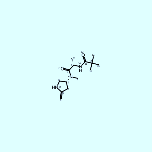 C=C1C[C@@H](N(C)C(=O)[C@H](C)NC(=O)C(C)(C)C)CN1